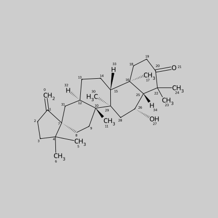 C=C1CCC(C)(C)[C@@]12CC[C@]1(C)[C@H](CC[C@@H]3[C@@]4(C)CCC(=O)C(C)(C)[C@@H]4[C@H](O)C[C@]31C)C2